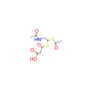 CC(=O)NCC(SC(C)=O)SC(=O)CC(=O)O